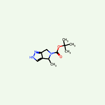 CC1c2c[nH]nc2CN1C(=O)OC(C)(C)C